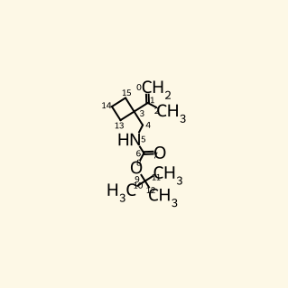 C=C(C)C1(CNC(=O)OC(C)(C)C)CCC1